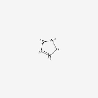 [C]1=NCSS1